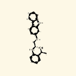 CC(O)c1ccccc1NCCOc1ccc2c(c1)oc1ccccc12